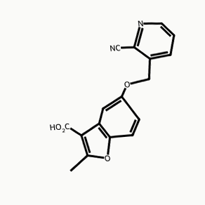 Cc1oc2ccc(OCc3cccnc3C#N)cc2c1C(=O)O